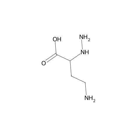 NCCC(NN)C(=O)O